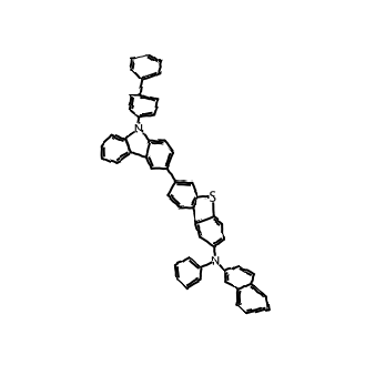 c1ccc(-c2ccc(-n3c4ccccc4c4cc(-c5ccc6c(c5)sc5ccc(N(c7ccccc7)c7ccc8ccccc8c7)cc56)ccc43)cc2)cc1